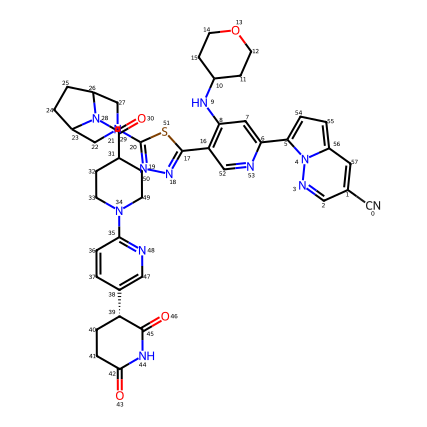 N#Cc1cnn2c(-c3cc(NC4CCOCC4)c(-c4nnc(N5CC6CCC(C5)N6C(=O)C5CCN(c6ccc([C@H]7CCC(=O)NC7=O)cn6)CC5)s4)cn3)ccc2c1